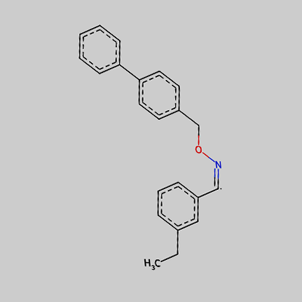 CCc1cccc(/[C]=N\OCc2ccc(-c3ccccc3)cc2)c1